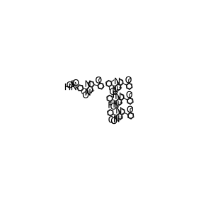 COc1ccccc1-c1ccnc2c(-c3c(C)cccc3C)[n+]([O-])ccc12.COc1ccccc1-c1ccnc2c(-c3c(F)cccc3F)[n+]([O-])ccc12.COc1ccccc1-c1ccnc2c(-c3ccc(NS(C)(=O)=O)cc3C)[n+]([O-])ccc12.COc1ccccc1-c1ccnc2c(-c3ccccc3Cl)[n+]([O-])ccc12